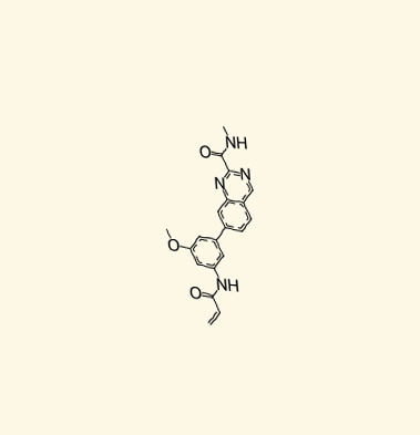 C=CC(=O)Nc1cc(OC)cc(-c2ccc3cnc(C(=O)NC)nc3c2)c1